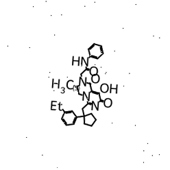 CCc1cccc(C2(Cc3nc(=O)c(O)c4n3C[C@H](C)N(CC(=O)Nc3ccccc3)C4=O)CCCC2)c1